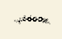 CC(=O)NC[C@H]1CN(c2ccc(-c3ccc(N4CCC(OS(C)(=O)=O)CC4)nc3)c(F)c2)C(=O)O1